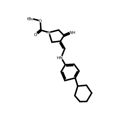 CC(C)(C)OC(=O)N1CC(=N)/C(=C/Nc2ccc(C3CCCCC3)cc2)C1